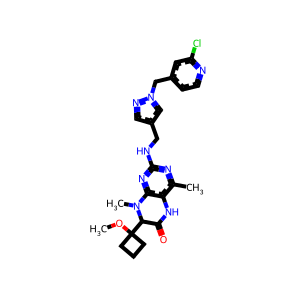 COC1(C2C(=O)Nc3c(C)nc(NCc4cnn(Cc5ccnc(Cl)c5)c4)nc3N2C)CCC1